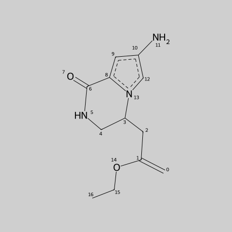 C=C(CC1CNC(=O)c2cc(N)cn21)OCC